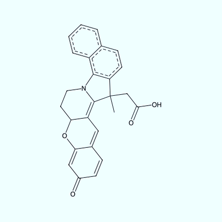 CC1(CC(=O)O)C2=C3C=C4C=CC(=O)C=C4OC3CCN2c2c1ccc1ccccc21